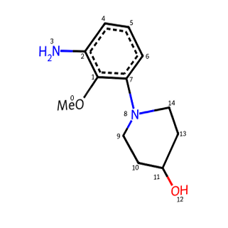 COc1c(N)cccc1N1CCC(O)CC1